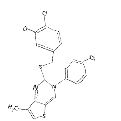 Cc1csc2c1=NC(SCc1ccc(Cl)c(Cl)c1)N(c1ccc(Cl)cc1)C=2